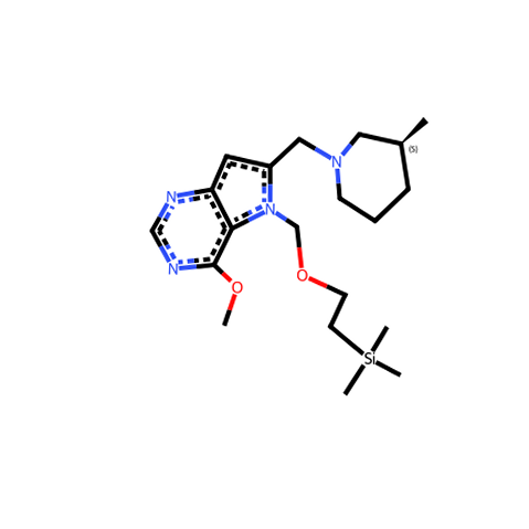 COc1ncnc2cc(CN3CCC[C@H](C)C3)n(COCC[Si](C)(C)C)c12